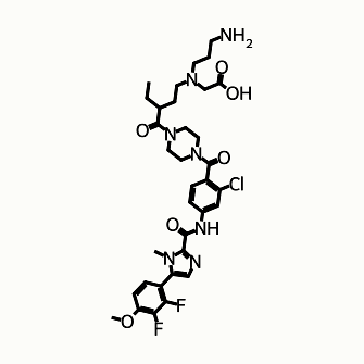 CCC(CCN(CCCN)CC(=O)O)C(=O)N1CCN(C(=O)c2ccc(NC(=O)c3ncc(-c4ccc(OC)c(F)c4F)n3C)cc2Cl)CC1